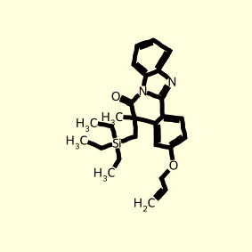 C=CCOc1ccc2c(c1)C(C)(C[Si](CC)(CC)CC)C(=O)n1c-2nc2ccccc21